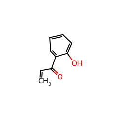 C=CC(=O)c1ccccc1O